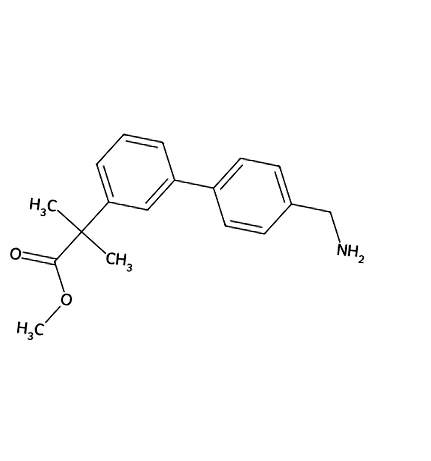 COC(=O)C(C)(C)c1cccc(-c2ccc(CN)cc2)c1